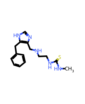 CNC(=S)NCCNCc1nc[nH]c1Cc1ccccc1